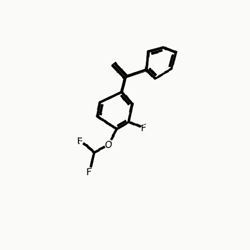 C=C(c1ccccc1)c1ccc(OC(F)F)c(F)c1